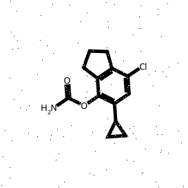 NC(=O)Oc1c(C2CC2)cc(Cl)c2c1CCC2